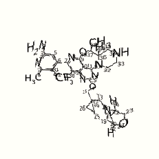 Cc1nc(N)cc(-c2nc3c4c(nc(OCC5(CN6C[C@@H]7C[C@H]6CO7)CC5)nc4c2F)N2CCNC[C@H]2[C@H](C)O3)c1C(F)(F)F